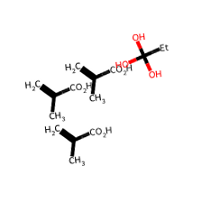 C=C(C)C(=O)O.C=C(C)C(=O)O.C=C(C)C(=O)O.CCC(O)(O)O